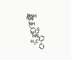 Cc1c(Nc2csc3cc(CNCc4nn[nH]n4)cnc23)cccc1-c1ccccc1